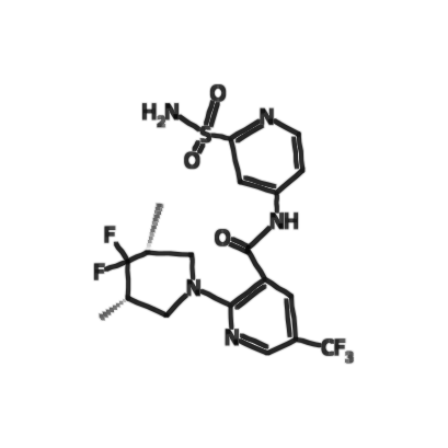 C[C@@H]1CN(c2ncc(C(F)(F)F)cc2C(=O)Nc2ccnc(S(N)(=O)=O)c2)C[C@H](C)C1(F)F